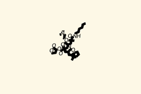 CCCCCCNC(=O)C(C)(C)CC(CC(C)(CC(CC1C2CCC(C2)C1C)C(N)=O)C(=O)OC1CCOC1=O)C(=O)OCCN(C)C